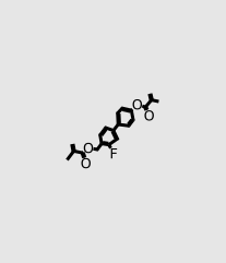 C=C(C)C(=O)OCc1ccc(-c2ccc(OC(=O)C(=C)C)cc2)cc1F